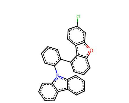 Clc1ccc2c(c1)oc1cccc(-c3ccccc3-n3c4ccccc4c4ccccc43)c12